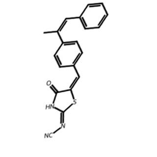 C/C(=C/c1ccccc1)c1ccc(C=C2SC(=NC#N)NC2=O)cc1